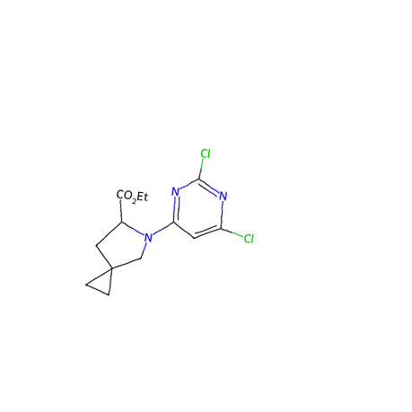 CCOC(=O)C1CC2(CC2)CN1c1cc(Cl)nc(Cl)n1